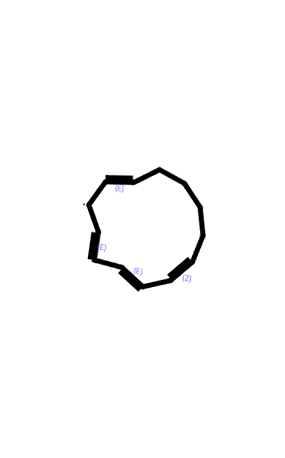 [CH]1/C=C/C=C/C=C\CCCC/C=C/1